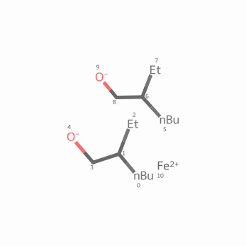 CCCCC(CC)C[O-].CCCCC(CC)C[O-].[Fe+2]